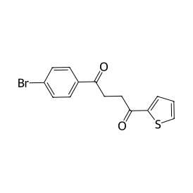 O=C(CCC(=O)c1cccs1)c1ccc(Br)cc1